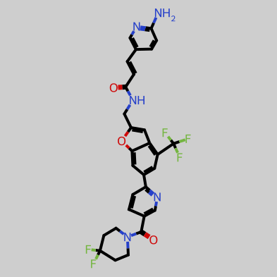 Nc1ccc(C=CC(=O)NCc2cc3c(C(F)(F)F)cc(-c4ccc(C(=O)N5CCC(F)(F)CC5)cn4)cc3o2)cn1